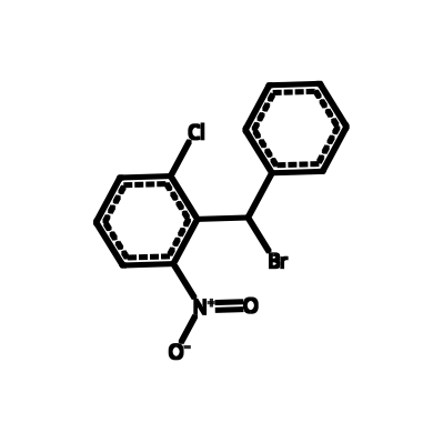 O=[N+]([O-])c1cccc(Cl)c1C(Br)c1ccccc1